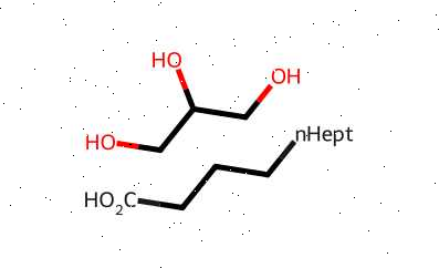 CCCCCCCCCCC(=O)O.OCC(O)CO